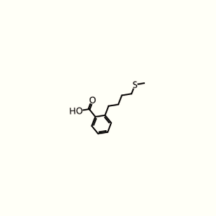 CSCCCCc1ccccc1C(=O)O